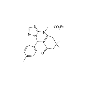 CCOC(=O)CN1C2=C(C(=O)CC(C)(C)C2)C(c2ccc(C)cc2)n2ncnc21